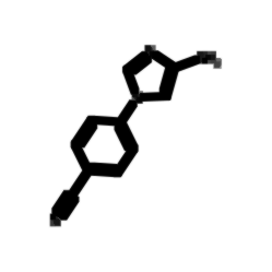 N#Cc1ccc(-n2cnc(N)c2)cc1